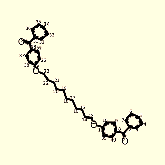 O=C(c1ccccc1)c1ccc(OCCCCCCCCCCCOc2ccc(C(=O)c3ccccc3)cc2)cc1